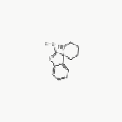 O=CC1=Nc2ccccc2C12CCCCN2